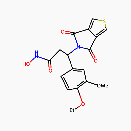 CCOc1ccc(C(CC(=O)NO)N2C(=O)c3cscc3C2=O)cc1OC